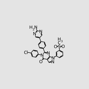 CS(=O)(=O)c1cccc(-n2ncc3c(=O)n(-c4ccc(Cl)cc4)c(-c4ccc(-c5cnc(N)nc5)cc4)nc32)c1